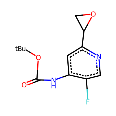 CC(C)(C)OC(=O)Nc1cc(C2CO2)ncc1F